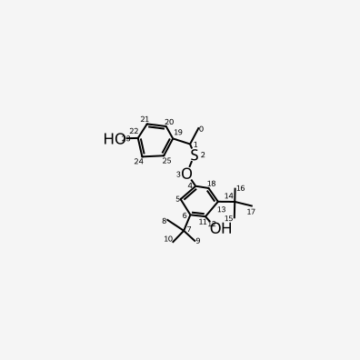 CC(SOc1cc(C(C)(C)C)c(O)c(C(C)(C)C)c1)c1ccc(O)cc1